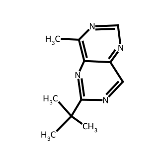 Cc1ncnc2cnc(C(C)(C)C)nc12